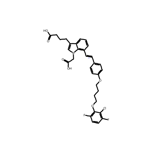 O=C(O)CCCc1cn(CC(=O)O)c2c(/C=C/c3ccc(OCCCCOc4c(F)ccc(F)c4Cl)cc3)cccc12